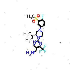 CC(C)[C@@H]1CN(c2ccc(F)c(S(C)(=O)=O)c2)CCN1c1ncc(CN)c(C(F)(F)F)n1